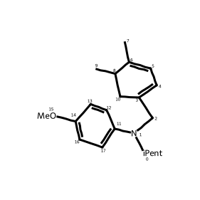 CCCC(C)N(CC1=CC=C(C)C(C)C1)c1ccc(OC)cc1